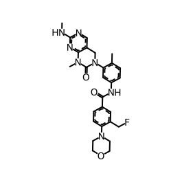 CNc1ncc2c(n1)N(C)C(=O)N(c1cc(NC(=O)c3ccc(N4CCOCC4)c(CF)c3)ccc1C)C2